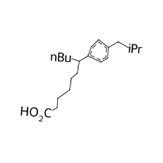 CCCCC(CCCCCC(=O)O)c1ccc(CC(C)C)cc1